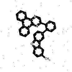 Cc1ccc2oc3ccc(-c4ccccc4-c4cnc5c6ccccc6c6ccccc6c5n4)cc3c2c1